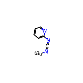 CC(C)(C)N=C=Nc1ccccn1